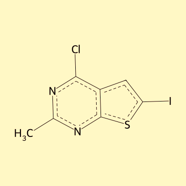 Cc1nc(Cl)c2cc(I)sc2n1